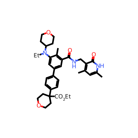 CCOC(=O)C1(c2ccc(-c3cc(C(=O)NCc4c(C)cc(C)[nH]c4=O)c(C)c(N(CC)C4CCOCC4)c3)cc2)CCOCC1